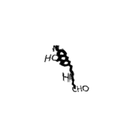 CN(C)c1ccc2c(c1)C(C)(O)C1=CCC(CCCNCCCC=O)=CC1=C2